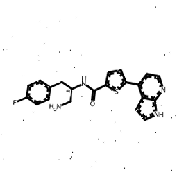 NC[C@@H](Cc1ccc(F)cc1)NC(=O)c1ccc(-c2ccnc3[nH]ccc23)s1